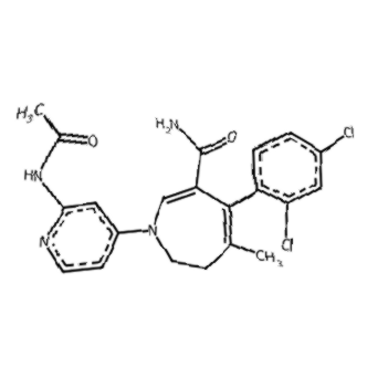 CC(=O)Nc1cc(N2C=C(C(N)=O)C(c3ccc(Cl)cc3Cl)=C(C)CC2)ccn1